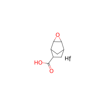 O=C(O)C1CC2CC1C1OC21.[Hf]